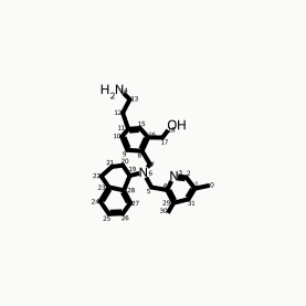 Cc1cnc(CN(Cc2ccc(CCN)cc2CO)C2CCCc3ccccc32)c(C)c1